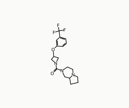 O=C(N1CC(Oc2cccc(C(F)(F)F)c2)C1)N1CCN2CCCC2C1